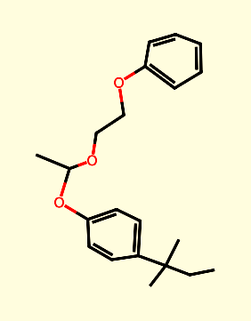 CCC(C)(C)c1ccc(OC(C)OCCOc2ccccc2)cc1